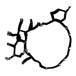 CN1CN2C(=O)CCCCCCCCCCOc3cc(F)ccc3CNC(=O)c3cn2c(c(O)c3=O)C1=O